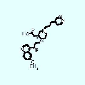 COc1ccc2nccc([C@H](F)CC[C@@H]3CCN(CCCc4ccnnc4)C[C@@H]3CC(=O)O)c2c1